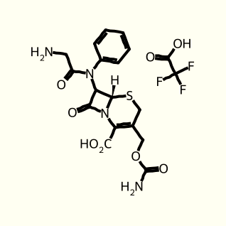 NCC(=O)N(c1ccccc1)C1C(=O)N2C(C(=O)O)=C(COC(N)=O)CS[C@@H]12.O=C(O)C(F)(F)F